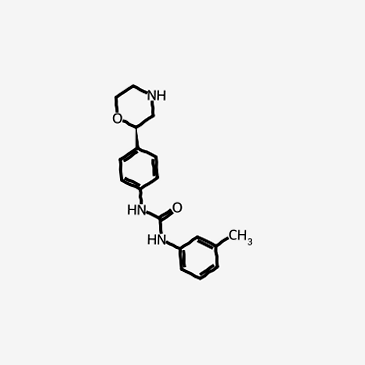 Cc1cccc(NC(=O)Nc2ccc([C@@H]3CNCCO3)cc2)c1